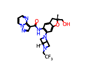 C[C@]1(CO)Cc2cc(NC(=O)c3cnn4cccnc34)c(N3C[C@H]4C3CN4CC(F)(F)F)cc2O1